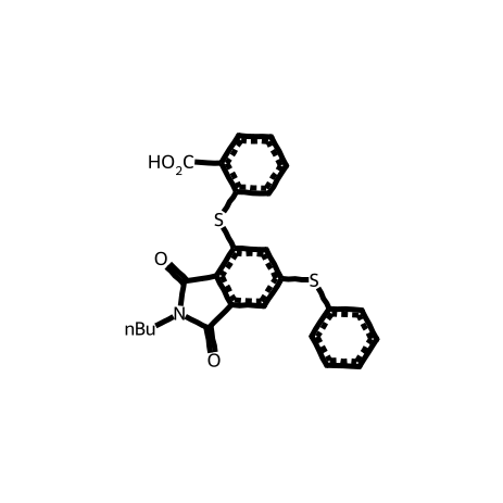 CCCCN1C(=O)c2cc(Sc3ccccc3)cc(Sc3ccccc3C(=O)O)c2C1=O